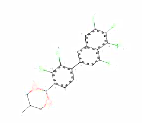 CC1COC(c2ccc(-c3cc(F)c4c(F)c(F)c(F)cc4c3)c(F)c2F)OC1